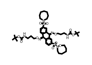 CC(C)(C)OC(=O)NCCCON=C1c2ccc(S(=O)(=O)N3CCCCCCC3)cc2C(=NOCCCNC(=O)OC(C)(C)C)c2cc(S(=O)(=O)N3CCCCCCC3)ccc21